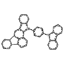 c1ccc2c(c1)-c1cccc3c1c-2cc1c2ccccc2n(-c2ccc(-n4c5ccccc5c5ccccc54)cc2)c31